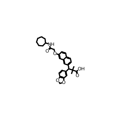 CC(C)(C(=O)O)C(c1ccc2c(c1)OCO2)c1ccc2ccc(OCC(=O)NC3CCCCCC3)cc2c1